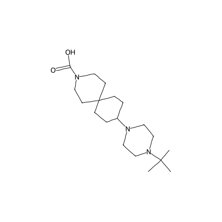 CC(C)(C)N1CCN(C2CCC3(CC2)CCN(C(=O)O)CC3)CC1